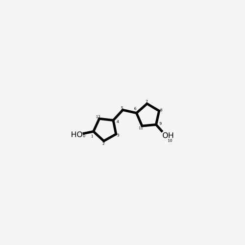 OC1CCC(CC2CCC(O)C2)C1